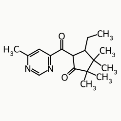 CCC1C(C(=O)c2cc(C)ncn2)C(=O)C(C)(C)C1(C)C